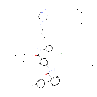 Cc1ccc(-c2ccccc2C(=O)Nc2ccc(C(=O)N(C)c3ccccc3OCCCCN3CCN(C)CC3)cc2)cc1.Cl.Cl